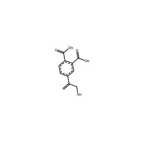 C=C(CO)c1ccc(C(=O)O)c(C(=O)O)c1